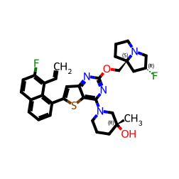 C=Cc1c(F)ccc2cccc(-c3cc4nc(OC[C@@]56CCCN5C[C@H](F)C6)nc(N5CCC[C@@](C)(O)C5)c4s3)c12